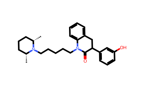 C[C@@H]1CCC[C@H](C)N1CCCCCN1C(=O)C(c2cccc(O)c2)Cc2ccccc21